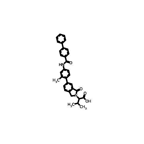 Cc1cc(NC(=O)c2ccc(-c3ccccc3)cc2)ccc1-c1ccc2c(c1)C(=O)N(C(C(=O)O)C(C)C)C2